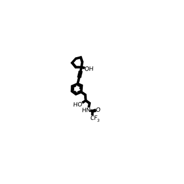 O=C(NCC(O)Cc1cccc(C#CC2(O)CCCCC2)c1)C(F)(F)F